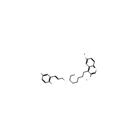 COc1ccc2ncc(F)c(C[C@H](N)[C@H]3CC[C@@H](NC/C=C/c4cc(F)ccc4F)CC3)c2c1